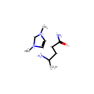 CCCCN1C=CN(C)C1.NC(=O)CCC(N)C(=O)O